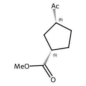 COC(=O)[C@H]1CC[C@@H](C(C)=O)C1